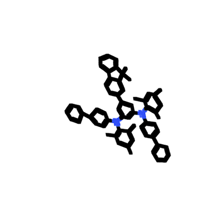 Cc1cc(C)c(N(c2ccc(-c3ccccc3)cc2)c2cc(-c3ccc4c(c3)C(C)(C)c3ccccc3-4)cc(N(c3ccc(-c4ccccc4)cc3)c3c(C)cc(C)cc3C)c2)c(C)c1